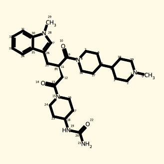 CN1CCC(C2CCN(C(=O)[C@@H](CC(=O)N3CCC(NC(N)=O)CC3)Cc3cn(C)c4ccccc34)CC2)CC1